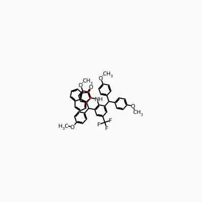 COc1ccc(C(c2ccc(OC)cc2)c2cc(C(F)(F)F)cc(C(c3ccc(OC)cc3)c3ccc(OC)cc3)c2NC2C(=O)c3cccc4cccc2c34)cc1